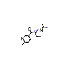 C=C/C(=C\N=C(C)C)C(=O)c1ccc(C)nc1